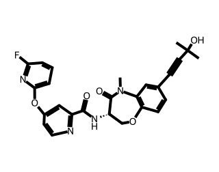 CN1C(=O)[C@@H](NC(=O)c2cc(Oc3cccc(F)n3)ccn2)COc2ccc(C#CC(C)(C)O)cc21